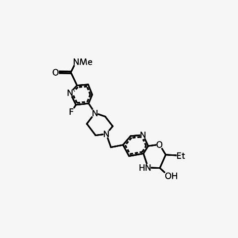 CCC1Oc2ncc(CN3CCN(c4ccc(C(=O)NC)nc4F)CC3)cc2NC1O